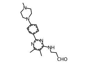 Cc1nc(-c2ccc(N3CCN(C)CC3)cc2)nc(NCCC=O)c1C